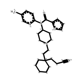 Cc1ccc(N(C(=O)c2ccco2)C2CCN(CCC3(CCC#N)CCCCC3)CC2)nc1